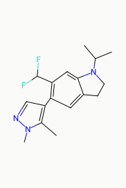 Cc1c(-c2cc3c(cc2C(F)F)N(C(C)C)CC3)cnn1C